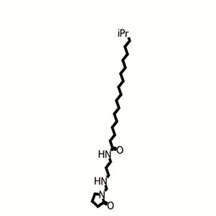 CC(C)CCCCCCCCCCCCCCCCC(=O)NCCCNCN1CCCC1=O